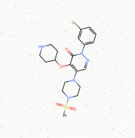 CC(C)S(=O)(=O)N1CCN(c2cnn(-c3cccc(Cl)c3)c(=O)c2OC2CCNCC2)CC1